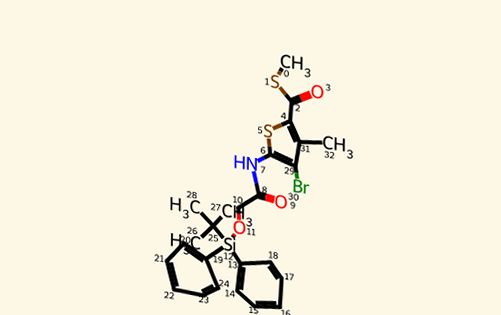 CSC(=O)c1sc(NC(=O)CO[Si](c2ccccc2)(c2ccccc2)C(C)(C)C)c(Br)c1C